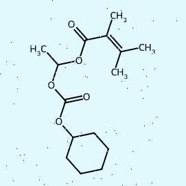 CC(C)=C(C)C(=O)OC(C)OC(=O)OC1CCCCC1